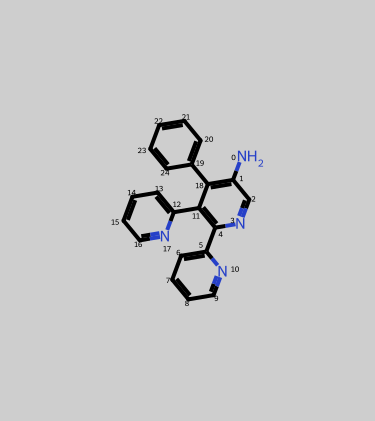 Nc1cnc(-c2ccccn2)c(-c2ccccn2)c1-c1ccccc1